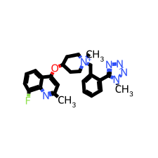 Cc1cc(OC2CC[N+](C)(Cc3ccccc3-c3nnnn3C)CC2)c2cccc(F)c2n1